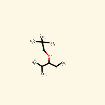 [CH2]CC(OCC(C)(C)C)C(C)C